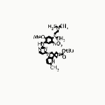 COc1cc(N(C)CCN(C)C)c([N+](=O)[O-])cc1Nc1nccc(N2CC3(CN(C(=O)OC(C)(C)C)C3)c3nc(C)ccc32)n1